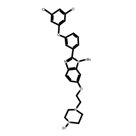 CCCCn1c(-c2cccc(Oc3cc(Cl)cc(Cl)c3)c2)nc2ccc(OCCN3CCN(CC)CC3)cc21